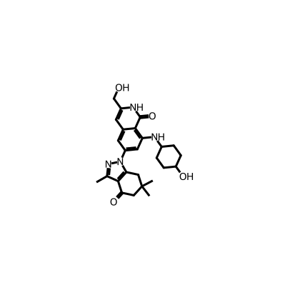 Cc1nn(-c2cc(NC3CCC(O)CC3)c3c(=O)[nH]c(CO)cc3c2)c2c1C(=O)CC(C)(C)C2